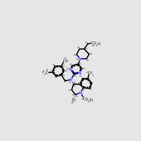 CCOC(=O)N1c2ccc(C(F)(F)F)cc2[C@@H](N(Cc2cc(C#N)cc(C(F)(F)F)c2)c2ncc(N3CCC(CC(=O)O)CC3)cn2)C[C@H]1CC